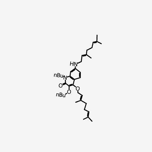 CCCCOc1c(OC/C=C(\C)CCC=C(C)C)c2ccc(NC/C=C(\C)CCC=C(C)C)cc2n(CCCC)c1=O